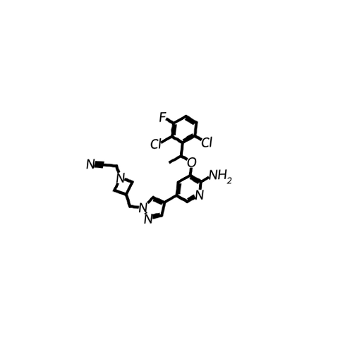 CC(Oc1cc(-c2cnn(CC3CN(CC#N)C3)c2)cnc1N)c1c(Cl)ccc(F)c1Cl